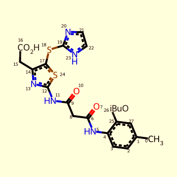 Cc1ccc(NC(=O)CC(=O)Nc2nc(CC(=O)O)c(Sc3ncc[nH]3)s2)c(OCC(C)C)c1